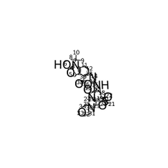 Cc1c(N(C(=O)O)C(C)(C)C)ccc2nc(N[C@@H](CCS(C)(=O)=O)C(=O)N(C)CCN3CCOCC3)oc(=O)c12